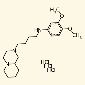 COc1ccc(NCCCCN2CCN3CCCCC3C2)cc1OC.Cl.Cl.Cl